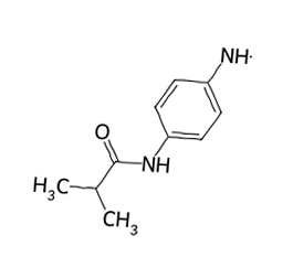 CC(C)C(=O)Nc1ccc([NH])cc1